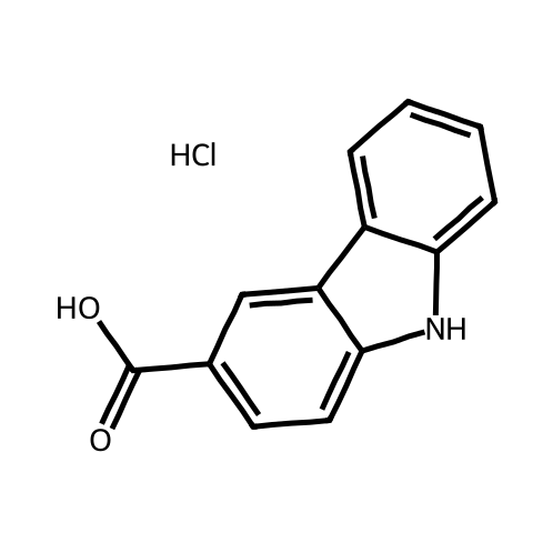 Cl.O=C(O)c1ccc2[nH]c3ccccc3c2c1